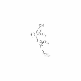 CCCCCCCCC(C=CC=C[C@@H]1CC=CC[C@H]1C(CCCCO)OC(C)=O)OC(C)=O